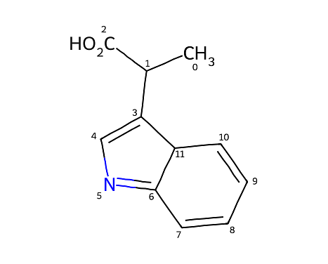 CC(C(=O)O)C1=CN=C2C=CC=CC12